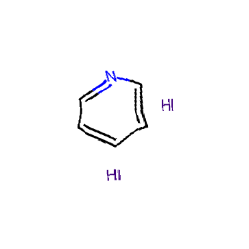 I.I.c1ccncc1